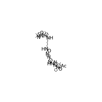 CC(=O)c1c(C)c2cnc(Nc3ccc(N4CCN(CC(=O)NCCCCCCNc5ccc(C)c(C(=O)Nc6nc(C)c(C)s6)c5)CC4)cn3)nc2n(C2CCCC2)c1=O